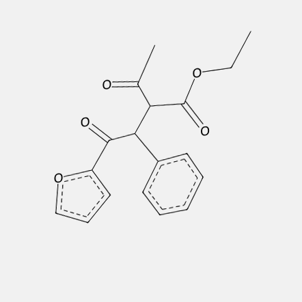 CCOC(=O)C(C(C)=O)C(C(=O)c1ccco1)c1ccccc1